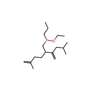 C=C(C)CCC(CP(CCC)OCC)C(=C)CC(C)C